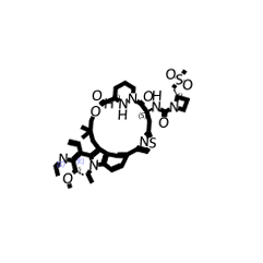 C=C/C(=C(\N=C/C)[C@H](C)OC)c1c2c3cc(ccc3n1CC)-c1csc(n1)C[C@H](NC(=O)N1CC[C@H]1CS(C)(=O)=O)C(=O)N1CCC[C@H](N1)C(=O)OCC(C)(C)C2